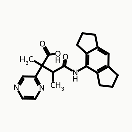 CC(C(=O)Nc1c2c(cc3c1CCC3)CCC2)C(C)(C(=O)O)c1cnccn1